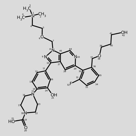 C[Si](C)(C)CCOCn1nc(-c2ccc(N3CCN(C(=O)O)CC3)c(O)c2)c2cc(-c3c(F)cccc3COCCCO)ncc21